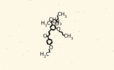 C=CCOc1ccc(C(=O)C=Cc2cc(OCCCC)c(OCCCC)c(C(C)(C)C)c2)cc1